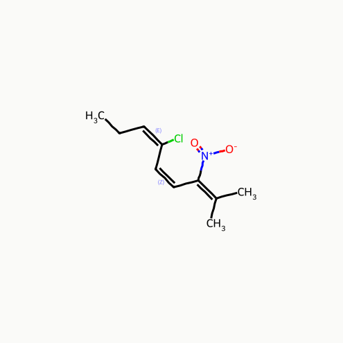 CC/C=C(Cl)\C=C/C(=C(C)C)[N+](=O)[O-]